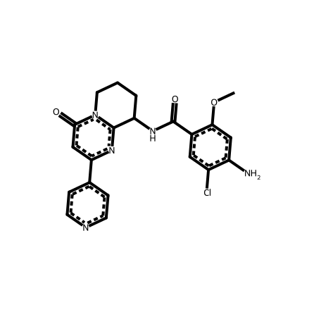 COc1cc(N)c(Cl)cc1C(=O)NC1CCCn2c1nc(-c1ccncc1)cc2=O